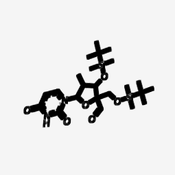 CC1C(n2ccc(=O)[nH]c2=O)OC(C=O)(CO[Si](C)(C)C(C)(C)C)C1O[Si](C)(C)C(C)(C)C